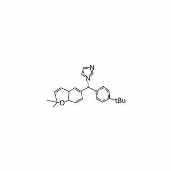 CC1(C)C=CC2C=C(C(c3ccc(C(C)(C)C)cc3)n3ccnc3)C=CC2O1